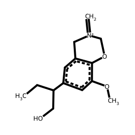 C=[N+]1COc2c(cc(C(CC)CO)cc2OC)C1